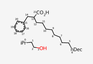 CC(C)CCO.CCCCCCCCCCCCCCCCCCC(Cc1ccccc1)C(=O)O